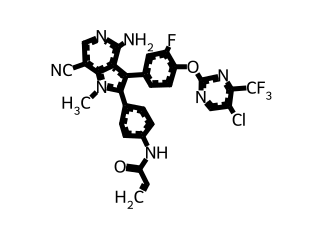 C=CC(=O)Nc1ccc(-c2c(-c3ccc(Oc4ncc(Cl)c(C(F)(F)F)n4)c(F)c3)c3c(N)ncc(C#N)c3n2C)cc1